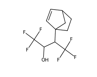 OC(C(C(F)(F)F)C12C=CC(CC1)C2)C(F)(F)F